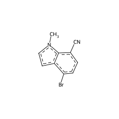 Cn1ccc2c(Br)ccc(C#N)c21